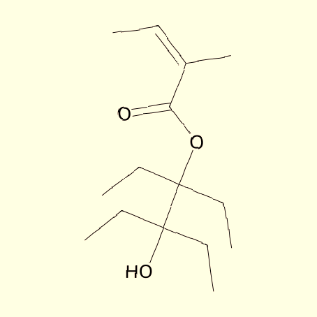 CC=C(C)C(=O)OC(CC)(CC)C(O)(CC)CC